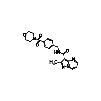 Cc1nn2cccnc2c1C(=O)NCc1ccc(S(=O)(=O)N2CCOCC2)cc1